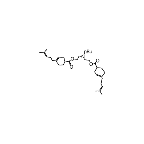 CCCCN(CCOC(=O)C1CC=C(CCC=C(C)C)CC1)CCOC(=O)C1CC=C(CCC=C(C)C)CC1